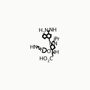 CC(C)c1nc2cc(NCCC(=O)O)c(OC3CCN(CC=N)CC3)cc2n1Cc1ccc(C(=N)N)c2ccccc12